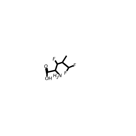 CC(C(F)F)C(F)C(N)C(=O)O